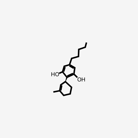 CCCCCc1cc(O)c([C@@H]2C=C(C)CCC2)c(O)c1